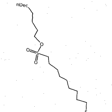 CCCCCCCCCCCCCCOS(=O)(=O)CCCCCCCCCF